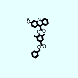 COc1ccc2c(C(=O)Oc3c(C)cc(C(=O)OCc4ccccc4)cc3C)c3ccccc3nc2c1